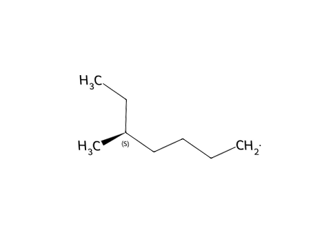 [CH2]CCC[C@@H](C)CC